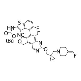 CC(C)(C)OC(=O)Nc1sc2ccc(F)c(-c3c4c(c5cnc(OCC6(CN7CCC(=CF)CC7)CC6)nc5c3F)COC4)c2c1C#N